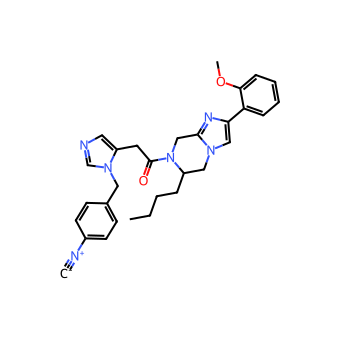 [C-]#[N+]c1ccc(Cn2cncc2CC(=O)N2Cc3nc(-c4ccccc4OC)cn3CC2CCCC)cc1